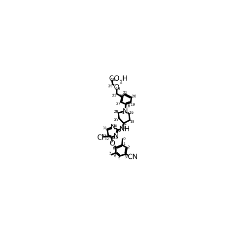 Cc1cc(C#N)cc(C)c1Oc1nc(NC2CCN(c3cccc(COCC(=O)O)c3)CC2)ncc1Cl